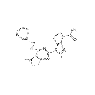 Cc1nc2c(C(N)=O)cccn2c1-c1nc2c(c(NCc3ccccc3)n1)N(C)CC2